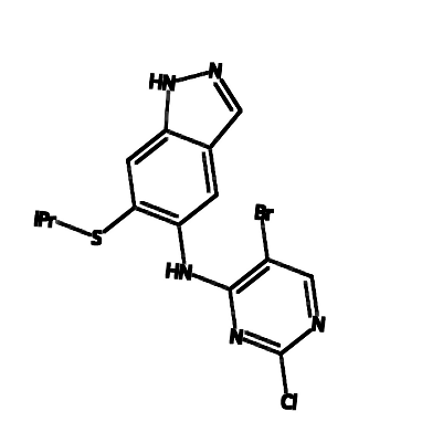 CC(C)Sc1cc2[nH]ncc2cc1Nc1nc(Cl)ncc1Br